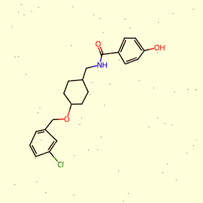 O=C(NCC1CCC(OCc2cccc(Cl)c2)CC1)c1ccc(O)cc1